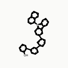 Oc1ccccc1-c1cccc(-c2cccc(-c3ccc4c(c3)c3ccccc3n4-c3cccc4ccccc34)c2)c1